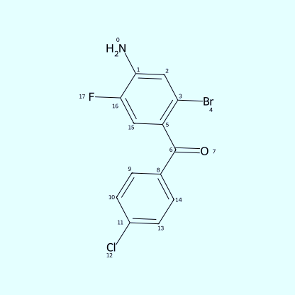 Nc1cc(Br)c(C(=O)c2ccc(Cl)cc2)cc1F